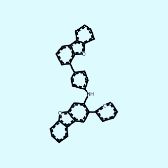 c1ccc(-c2cc3c(cc2Nc2ccc(-c4cccc5c4oc4ccccc45)cc2)oc2ccccc23)cc1